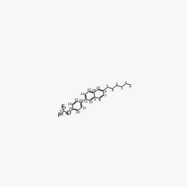 CCCCCCc1ccc2cc(-c3ccc(OC(F)F)cc3)ccc2c1